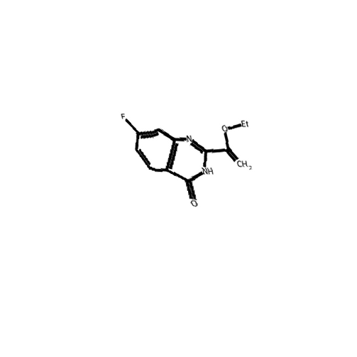 C=C(OCC)c1nc2cc(F)ccc2c(=O)[nH]1